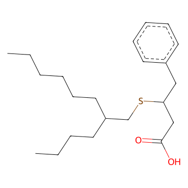 CCCCCCC(CCCC)CSC(CC(=O)O)Cc1ccccc1